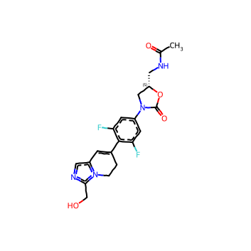 CC(=O)NC[C@H]1CN(c2cc(F)c(C3=Cc4cnc(CO)n4CC3)c(F)c2)C(=O)O1